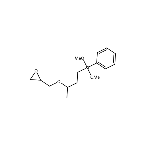 CO[Si](CCC(C)OCC1CO1)(OC)c1ccccc1